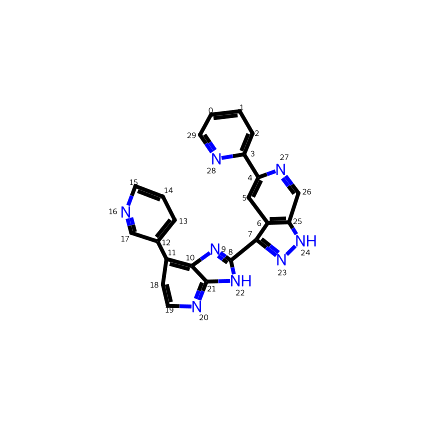 c1ccc(-c2cc3c(-c4nc5c(-c6cccnc6)ccnc5[nH]4)n[nH]c3cn2)nc1